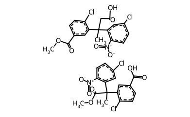 COC(=O)C(C)(c1cc(C(=O)O)ccc1Cl)c1cc(Cl)ccc1[N+](=O)[O-].COC(=O)c1ccc(Cl)c(C(C)(CC(=O)O)c2cc(Cl)ccc2[N+](=O)[O-])c1